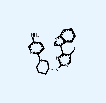 Nc1ccc(N2CCC[C@@H](Nc3ncc(Cl)c(-c4c[nH]c5ccccc45)n3)C2)nc1